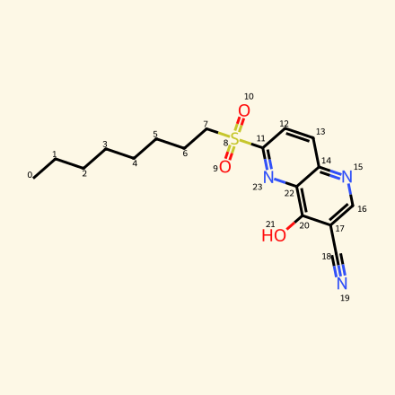 CCCCCCCCS(=O)(=O)c1ccc2ncc(C#N)c(O)c2n1